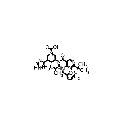 CC(C)CN(C(=O)c1cnc(C(C)(C)C)nc1NCc1ccco1)C1CC(c2nn[nH]n2)CN(C(=O)O)C1